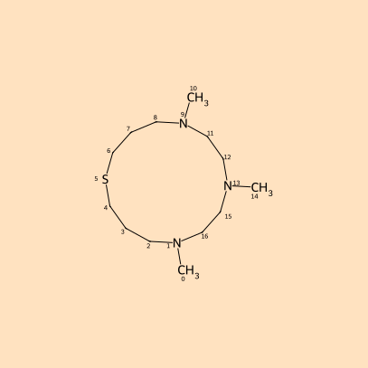 CN1CCCSCCCN(C)CCN(C)CC1